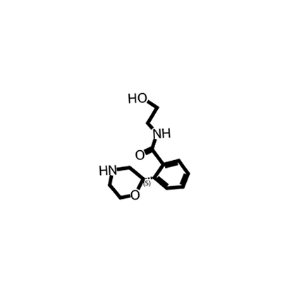 O=C(NCCO)c1ccccc1[C@H]1CNCCO1